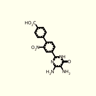 Nc1nc(-c2ccc(-c3ccc(C(=O)O)cc3)c([N+](=O)[O-])c2)[nH]c(=O)c1N